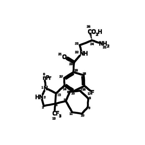 CCCN1NCC(C2CCCCCC2)(C(F)(F)F)C1c1cc(F)cc(C(=O)NC[C@@H](N)C(=O)O)c1